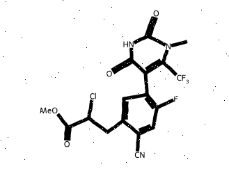 COC(=O)C(Cl)Cc1cc(-c2c(C(F)(F)F)n(C)c(=O)[nH]c2=O)c(F)cc1C#N